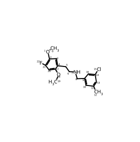 COc1cc(CCNCc2cc(C)cc(Cl)c2)c(OC)cc1F